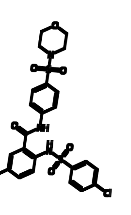 O=C(Nc1ccc(S(=O)(=O)N2CCOCC2)cc1)c1cc(Cl)ccc1NS(=O)(=O)c1ccc(Cl)cc1